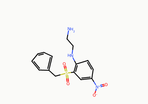 NCCNc1ccc([N+](=O)[O-])cc1S(=O)(=O)Cc1ccccc1